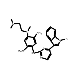 COc1cc(N(C)CCN(C)C)c(N)cc1Nc1nccc(-c2cn(C(C)C)c3ccccc23)n1